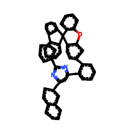 c1ccc(-c2nc(-c3ccc4ccccc4c3)cc(-c3ccccc3-c3ccc4c(c3)Oc3ccccc3C43c4ccccc4-c4ccccc43)n2)cc1